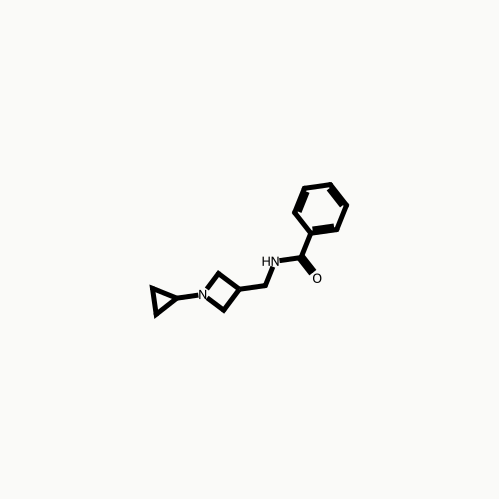 O=C(NCC1CN(C2CC2)C1)c1ccccc1